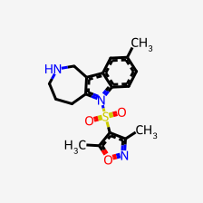 Cc1ccc2c(c1)c1c(n2S(=O)(=O)c2c(C)noc2C)CCCNC1